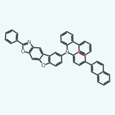 c1ccc(-c2nc3cc4c(cc3o2)oc2ccc(N(c3ccc(-c5ccc6ccccc6c5)cc3)c3ccccc3-c3ccccc3)cc24)cc1